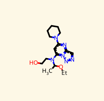 CCOC(C)N(CCO)c1cc(N2CCCCC2)nc2cnnn12